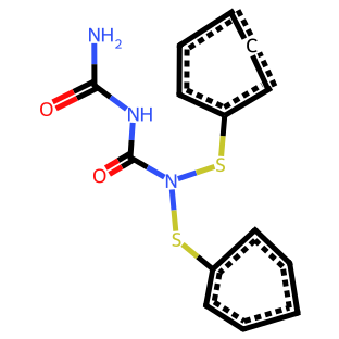 NC(=O)NC(=O)N(Sc1ccccc1)Sc1ccccc1